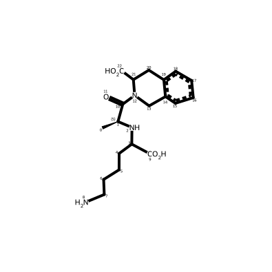 C[C@H](NC(CCCCN)C(=O)O)C(=O)N1Cc2ccccc2CC1C(=O)O